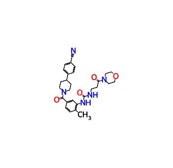 Cc1ccc(C(=O)N2CCC(c3ccc(C#N)cc3)CC2)cc1NC(=O)NCCC(=O)N1CCOCC1